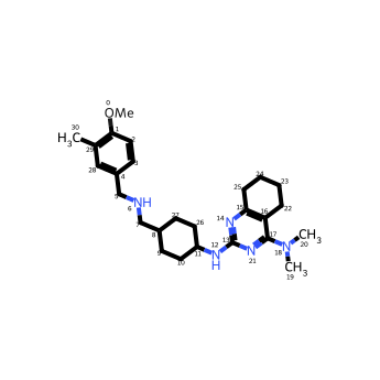 COc1ccc(CNCC2CCC(Nc3nc4c(c(N(C)C)n3)CCCC4)CC2)cc1C